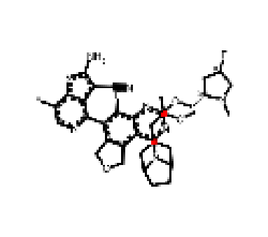 COC(C)CN1CC2CCC(C1)N2c1nc(OC[C@@H]2C[C@@H](F)CN2C)nc2c(F)c(-c3ncc(F)c4sc(N)c(C#N)c34)c3c(c12)COC3